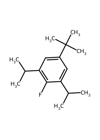 CC(C)c1cc(C(C)(C)C)cc(C(C)C)c1F